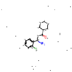 NC(CC(=O)C1CCCCC1)c1ccccc1Cl